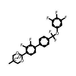 CC12COC(c3ccc(-c4ccc(C(F)(F)Oc5cc(F)c(F)c(F)c5)cc4)c(F)c3F)(OC1)OC2